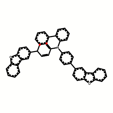 C1=CC(c2ccc3oc4ccccc4c3c2)CC=C1N(c1ccc(-c2ccc3oc4ccccc4c3c2)cc1)c1ccccc1-c1ccccc1